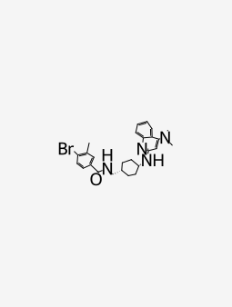 Cc1cc(C(=O)NC[C@H]2CC[C@@H](Nc3cc(N(C)C)c4ccccc4n3)CC2)ccc1Br